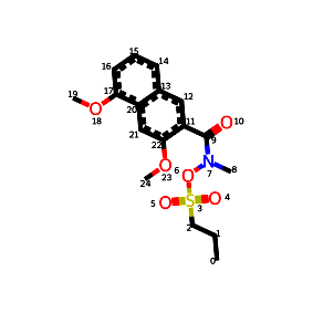 CCCS(=O)(=O)ON(C)C(=O)c1cc2cccc(OC)c2cc1OC